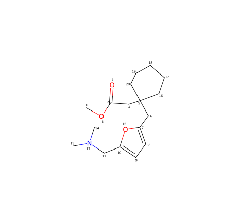 COC(=O)CC1(Cc2ccc(CN(C)C)o2)CCCCC1